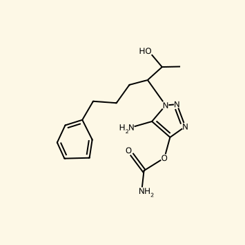 CC(O)C(CCCc1ccccc1)n1nnc(OC(N)=O)c1N